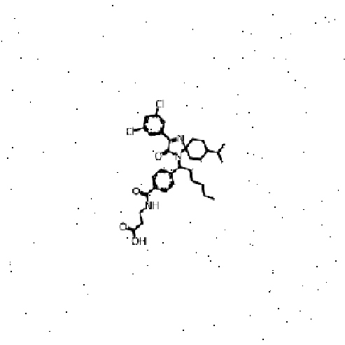 CCCCCC(c1ccc(C(=O)NCCC(=O)O)cc1)N1C(=O)C(c2cc(Cl)cc(Cl)c2)=NC12CCC(C(C)C)CC2